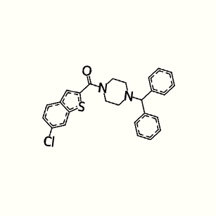 O=C(c1cc2ccc(Cl)cc2s1)N1CCN(C(c2ccccc2)c2ccccc2)CC1